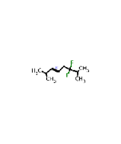 CC(C)/C=C/CC(F)(F)C(C)C